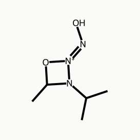 CC(C)N1C(C)O/[N+]1=N\O